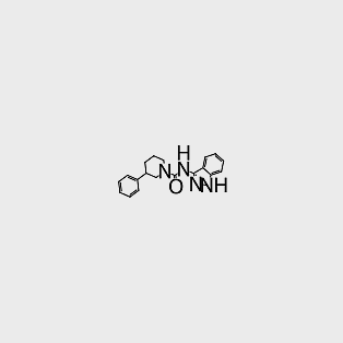 O=C(Nc1n[nH]c2ccccc12)N1CCCC(c2ccccc2)C1